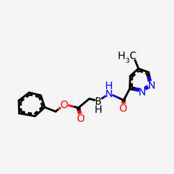 Cc1cnnc(C(=O)NBCC(=O)OCc2ccccc2)c1